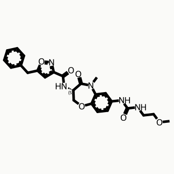 COCCNC(=O)Nc1ccc2c(c1)N(C)C(=O)[C@@H](NC(=O)c1cc(Cc3ccccc3)on1)CO2